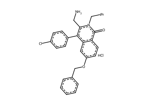 CC(C)Cn1c(CN)c(-c2ccc(Cl)cc2)c2cc(OCc3ccccc3)ccc2c1=O.Cl